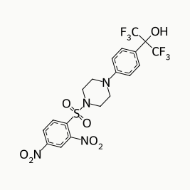 O=[N+]([O-])c1ccc(S(=O)(=O)N2CCN(c3ccc(C(O)(C(F)(F)F)C(F)(F)F)cc3)CC2)c([N+](=O)[O-])c1